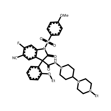 CCOc1ccccc1C1(C(=O)NN2CCC(N3CCN(CC)CC3)CC2)C(=O)N(S(=O)(=O)c2ccc(OC)cc2)c2cc(F)c(C#N)cc21